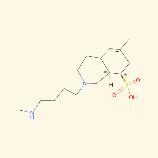 CNCCCCN1CCC2C=C(C)C[C@@H](S(=O)(=O)O)[C@H]2C1